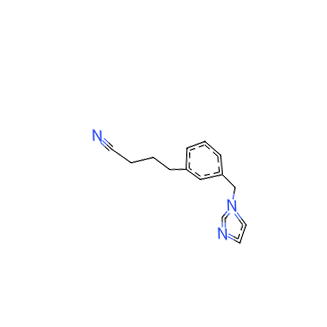 N#CCCCc1cccc(Cn2ccnc2)c1